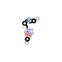 O=C(NC/C=C1/c2c(cnn2Cc2ccc(Cl)cc2Cl)CCC1F)NS(=O)(=O)c1ccc(Cl)cc1